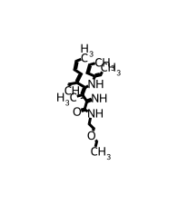 C=CC(=C\C=C/C)/C(NC(/C=C\C)=C/C)=C(\C)C(=N)C(=O)NCCOCC